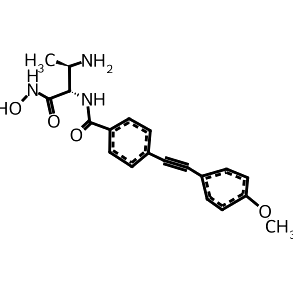 COc1ccc(C#Cc2ccc(C(=O)N[C@H](C(=O)NO)[C@@H](C)N)cc2)cc1